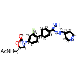 CC(=O)NC[C@H]1CN(c2ccc(-c3ccc(C(=N)NCc4ccncc4)cc3)c(F)c2)C(=O)O1